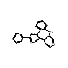 C1=CC2c3cnc(-c4ccccc4)nc3-c3cccnc3NC2C=N1